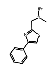 CC(C)N(C)Cc1nc(-c2ccccc2)cs1